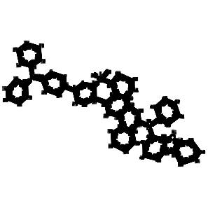 C[Si]1(C)c2cc(-c3ccc(N(c4ccccc4)c4ccccc4)cc3)ccc2-c2cc3c4ccccc4c(N(c4ccccc4)c4cccc5c4oc4ccccc45)cc3c3cccc1c23